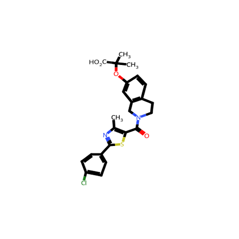 Cc1nc(-c2ccc(Cl)cc2)sc1C(=O)N1CCc2ccc(OC(C)(C)C(=O)O)cc2C1